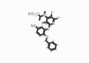 CCOC(=O)C(C)N(C)c1c(F)c(F)nc(Oc2cc(C#N)ccc2OCc2ccccc2)c1F